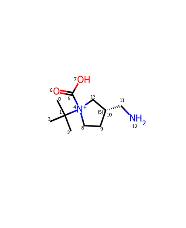 CC(C)(C)[N+]1(C(=O)O)CC[C@@H](CN)C1